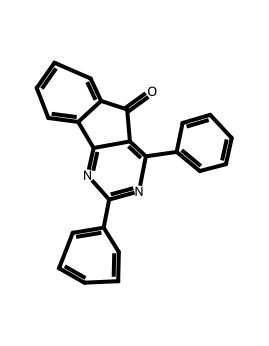 O=C1c2ccccc2-c2nc(-c3ccccc3)nc(-c3ccccc3)c21